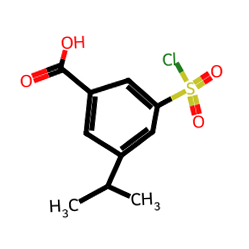 CC(C)c1cc(C(=O)O)cc(S(=O)(=O)Cl)c1